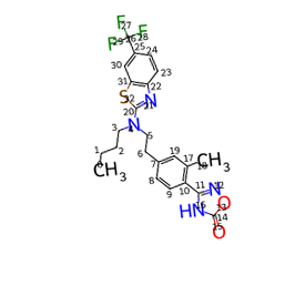 CCCCN(CCc1ccc(-c2noc(=O)[nH]2)c(C)c1)c1nc2ccc(C(F)(F)F)cc2s1